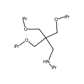 CC(C)NCC(COC(C)C)(COC(C)C)COC(C)C